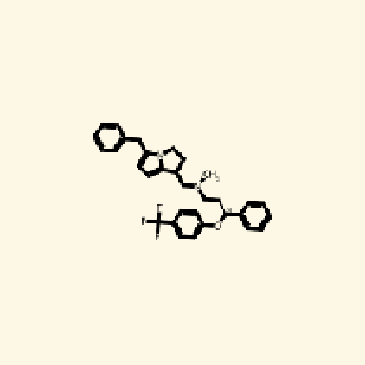 CN(CC[C@H](Oc1ccc(C(F)(F)F)cc1)c1ccccc1)CC1CCn2c(Cc3ccccc3)ccc21